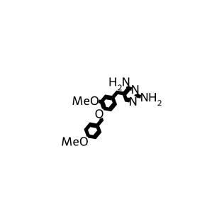 COc1cc(Cc2cnc(N)nc2N)ccc1OCC1=CCC(OC)C=C1